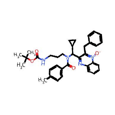 Cc1ccc(C(=O)N(CCCNC(=O)OC(C)(C)C)C(c2nc3ccccc3[n+]([O-])c2Cc2ccccc2)C2CC2)cc1